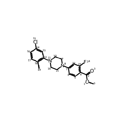 COC(=O)c1ccc(N2CCN(c3cc(Cl)ccc3C)CC2)cc1F